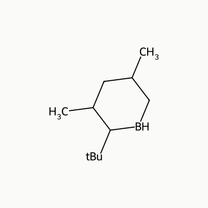 CC1CBC(C(C)(C)C)C(C)C1